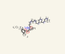 CC/C=C\C/C=C\C/C=C\C/C=C\C/C=C\C/C=C\CCC(=O)NC(CC(C)C)C(=O)Oc1cc(C(F)(F)F)ccc1C(=O)OCC